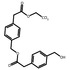 O=C(Cc1ccc(CO)cc1)OCc1ccc(CC(=O)OCC(Cl)(Cl)Cl)cc1